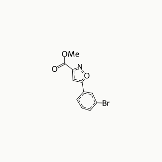 COC(=O)c1cc(-c2cccc(Br)c2)on1